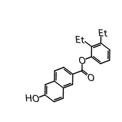 CCc1cccc(OC(=O)c2ccc3cc(O)ccc3c2)c1CC